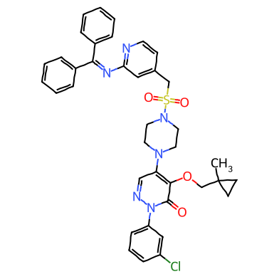 CC1(COc2c(N3CCN(S(=O)(=O)Cc4ccnc(N=C(c5ccccc5)c5ccccc5)c4)CC3)cnn(-c3cccc(Cl)c3)c2=O)CC1